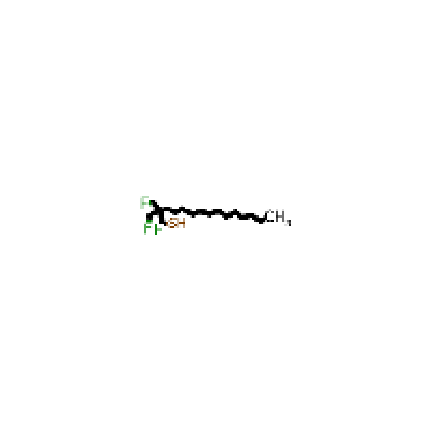 CCCCCCCCCCCCCC(CF)(CF)C(F)S